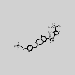 Cc1c(NS(=O)(=O)c2ccc3c(c2)CN(Cc2ccc(OCC(F)(F)F)nc2)CC3)noc1C(C)(C)C